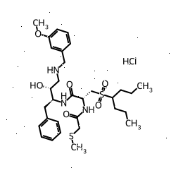 CCCC(CCC)S(=O)(=O)C[C@H](NC(=O)CSC)C(=O)N[C@@H](Cc1ccccc1)[C@H](O)CNCc1cccc(OC)c1.Cl